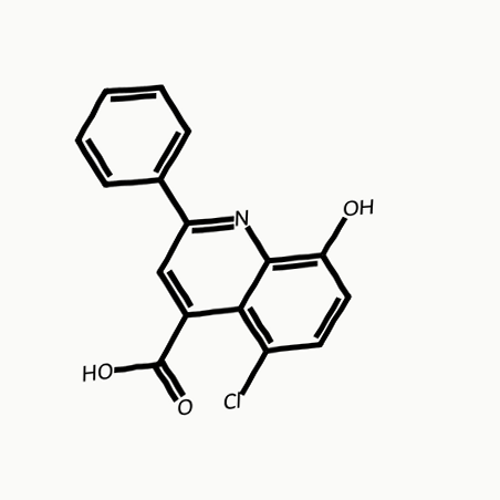 O=C(O)c1cc(-c2ccccc2)nc2c(O)ccc(Cl)c12